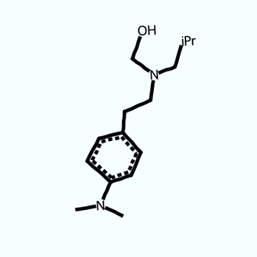 CC(C)CN(CO)CCc1ccc(N(C)C)cc1